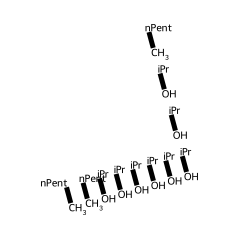 CC(C)O.CC(C)O.CC(C)O.CC(C)O.CC(C)O.CC(C)O.CC(C)O.CC(C)O.CCCCCC.CCCCCC.CCCCCC